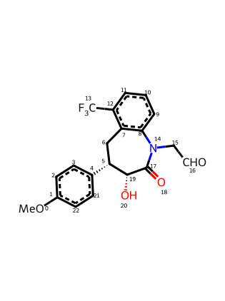 COc1ccc([C@@H]2Cc3c(cccc3C(F)(F)F)N(CC=O)C(=O)[C@@H]2O)cc1